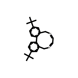 CC(C)(C)c1ccc2c(c1)C/N=C\C=N/Cc1cc(C(C)(C)C)ccc1-2